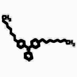 CCCCCCCCc1ccc(N(c2cc[c]cc2)c2ccc(CCCCCCCC)cc2)cc1